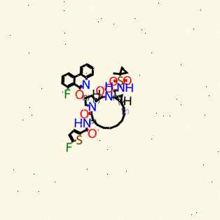 CC1(S(=O)(=O)NC(=O)[C@@]23C[C@H]2/C=C\CCCCC[C@H](NC(=O)c2ccc(F)s2)C(=O)N2C[C@H](Oc4nc5ccccc5c5cccc(F)c45)C[C@H]2C(=O)N3)CC1